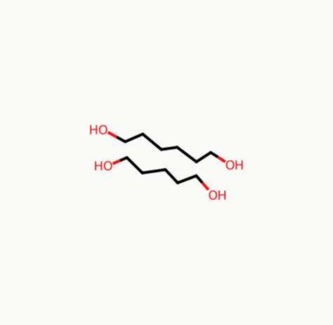 OCCCCCCO.OCCCCCO